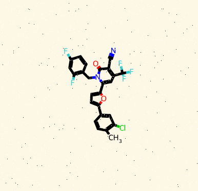 Cc1ccc(-c2ccc(-c3cc(C(F)(F)F)c(C#N)c(=O)n3Cc3ccc(F)cc3F)o2)cc1Cl